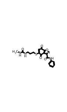 CNC(=O)NCCCSC1=CC(=O)c2onc(C(=O)Nc3ccccc3)c2C1=O